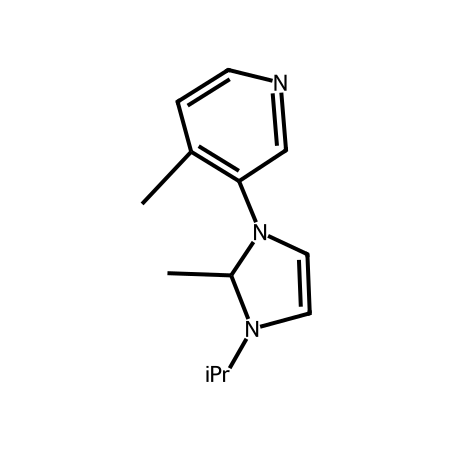 Cc1ccncc1N1C=CN(C(C)C)C1C